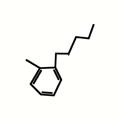 CCC[CH]Cc1ccccc1C